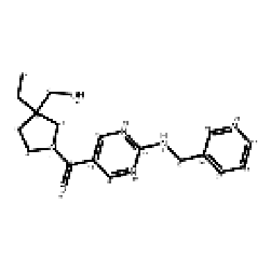 CCC1(CO)CCN(C(=O)c2cnc(NCc3cccnc3)nc2)C1